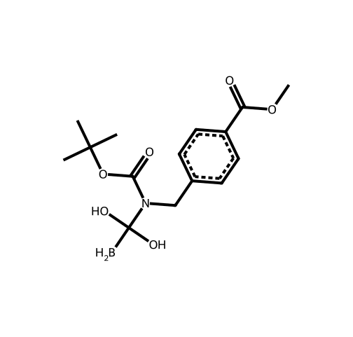 BC(O)(O)N(Cc1ccc(C(=O)OC)cc1)C(=O)OC(C)(C)C